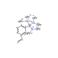 C=Cc1cccc([Si](N(CCC)CCC)(N(CCC)CCC)N(CCC)CCC)c1